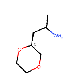 CC(N)C[C@H]1COCCO1